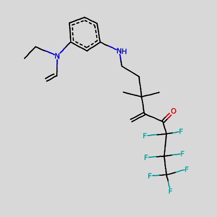 C=CN(CC)c1cccc(NCCC(C)(C)C(=C)C(=O)C(F)(F)C(F)(F)C(F)(F)F)c1